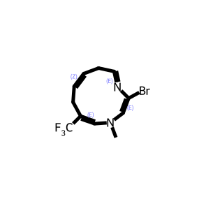 CN1/C=C(Br)\N=C\C/C=C\C/C(C(F)(F)F)=C\1